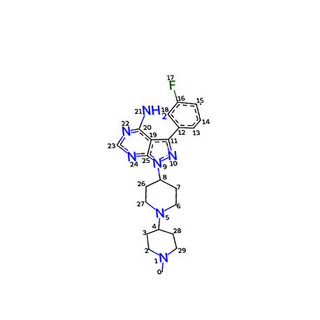 CN1CCC(N2CCC(n3nc(-c4cc[c]c(F)c4)c4c(N)ncnc43)CC2)CC1